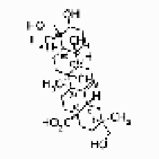 C[C@]1(CO)CC[C@]2(C(=O)O)CC[C@]3(C)C(=CC[C@@H]4[C@@]5(C)CCC(O)[C@@](C)(CO)[C@@H]5CC[C@]43C)[C@@H]2C1